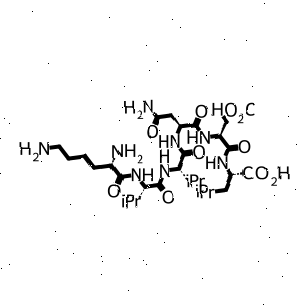 CC(C)C[C@H](NC(=O)[C@H](CC(=O)O)NC(=O)[C@H](CC(N)=O)NC(=O)[C@@H](NC(=O)[C@@H](NC(=O)[C@@H](N)CCCCN)C(C)C)C(C)C)C(=O)O